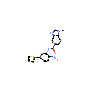 Cn1cnc2cc(C(=O)Nc3cc(-c4cccs4)ccc3N=O)ccc21